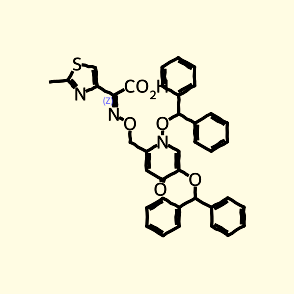 Cc1nc(/C(=N/OCc2cc(=O)c(OC(c3ccccc3)c3ccccc3)cn2OC(c2ccccc2)c2ccccc2)C(=O)O)cs1